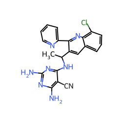 CC(Nc1nc(N)nc(N)c1C#N)c1cc2cccc(Cl)c2nc1-c1ccccn1